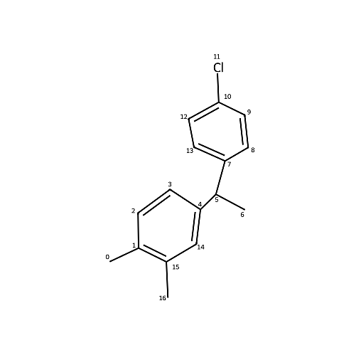 Cc1ccc(C(C)c2ccc(Cl)cc2)cc1C